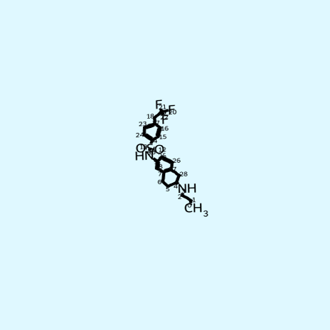 CCCNC1CCc2cc(NS(=O)(=O)c3ccc(CC(F)(F)F)cc3)ccc2C1